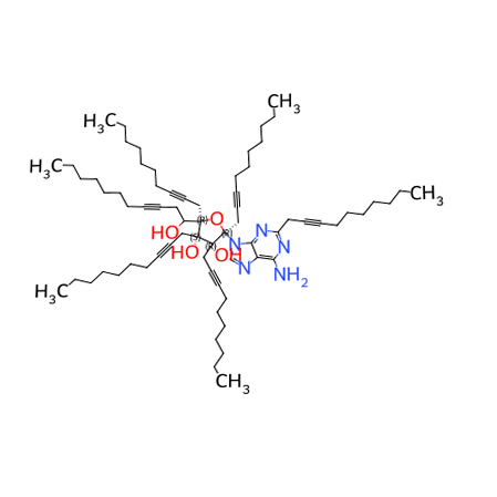 CCCCCCCC#CCc1nc(N)c2ncn([C@]3(CC#CCCCCCCC)O[C@](CC#CCCCCCCC)(C(O)CC#CCCCCCCC)[C@](O)(CC#CCCCCCCC)[C@]3(O)CC#CCCCCCCC)c2n1